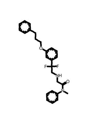 CN(C(=O)CNCC(F)(F)c1cccc(OCCCc2ccccc2)c1)c1ccccc1